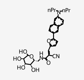 CCCN(CCC)c1ccc2cc(-c3ccc(/C=C(\C#N)C(=O)NC[C@H]4OC(O)[C@H](O)[C@@H](O)[C@@H]4O)o3)ccc2c1